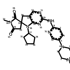 CN1CCN(c2ccc(Nc3ncc4c(n3)N(C3CCCC3)C3(CC(=O)N(C)C3=O)C4)nc2)CC1